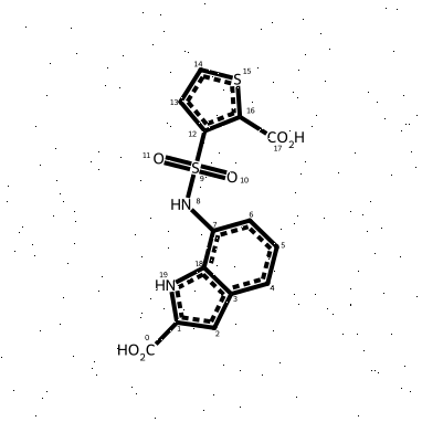 O=C(O)c1cc2cccc(NS(=O)(=O)c3ccsc3C(=O)O)c2[nH]1